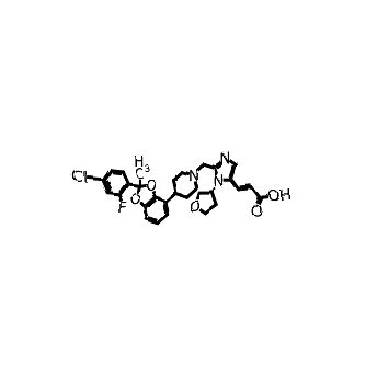 CC1(c2ccc(Cl)cc2F)Oc2cccc(C3CCN(Cc4ncc(/C=C/C(=O)O)n4[C@@H]4CCOC4)CC3)c2O1